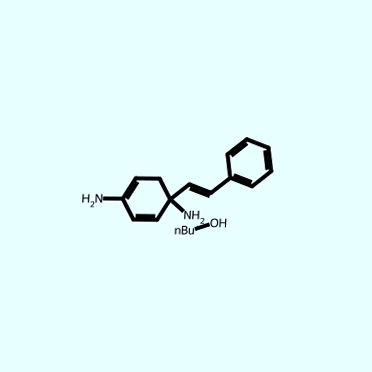 CCCCO.NC1=CCC(N)(C=Cc2ccccc2)C=C1